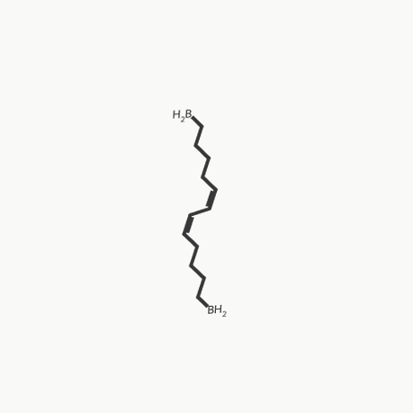 BCCCC/C=C\C=C/CCCCB